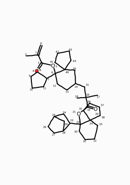 C=C(C)C(=O)OC1(C2CCCC2)CCC(CC(C)(C)C(=O)OC2(C3CC4CCC3C4)CCCCC23CCCC3)CC12CCCC2